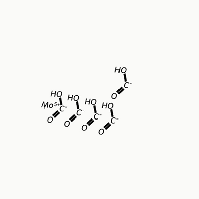 O=[C-]O.O=[C-]O.O=[C-]O.O=[C-]O.O=[C-]O.[Mo+5]